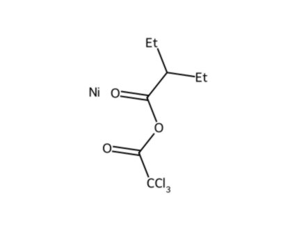 CCC(CC)C(=O)OC(=O)C(Cl)(Cl)Cl.[Ni]